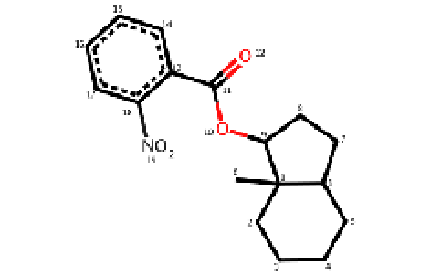 CC12CCCCC1CCC2OC(=O)c1ccccc1[N+](=O)[O-]